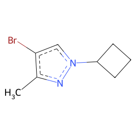 Cc1nn(C2CCC2)cc1Br